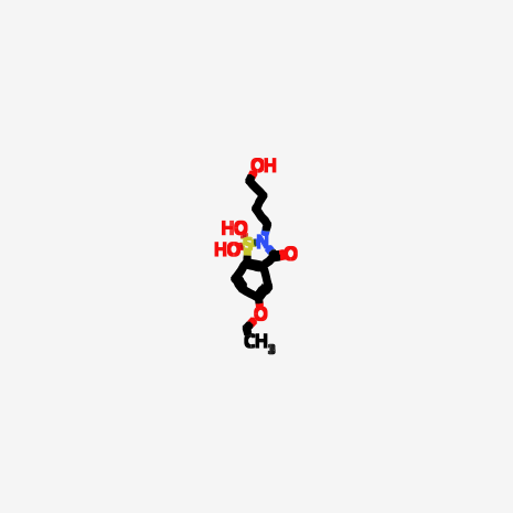 CCOc1ccc2c(c1)C(=O)N(CCCCO)S2(O)O